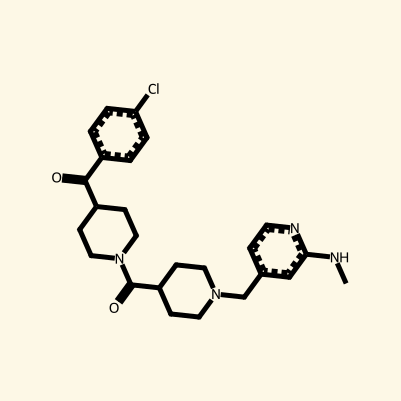 CNc1cc(CN2CCC(C(=O)N3CCC(C(=O)c4ccc(Cl)cc4)CC3)CC2)ccn1